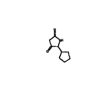 O=C1CC(=O)C(C2CCCC2)N1